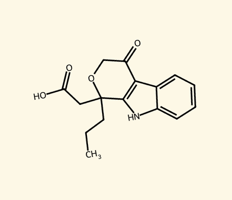 CCCC1(CC(=O)O)OCC(=O)c2c1[nH]c1ccccc21